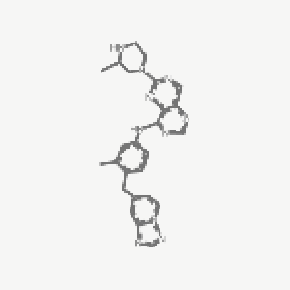 Cc1cc(Nc2ncnc3cnc(N4CCNC(C)C4)nc23)ccc1Cc1ccn2ncnc2c1